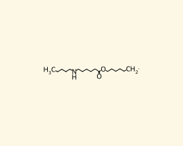 [CH2]CCCCCOC(=O)CCCCCNCCCCC